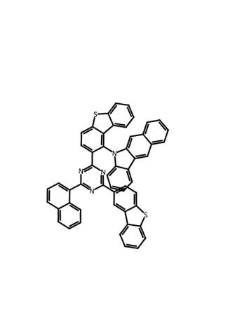 c1ccc2cc3c(cc2c1)c1ccccc1n3-c1c(-c2nc(-c3ccc4sc5ccccc5c4c3)nc(-c3cccc4ccccc34)n2)ccc2sc3ccccc3c12